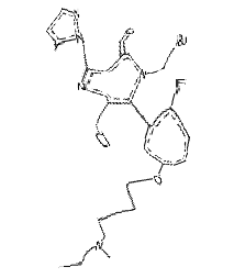 CCC(C)Cn1c(-c2cc(OCCCN(C)C)ccc2F)c(Cl)nc(-n2cccn2)c1=O